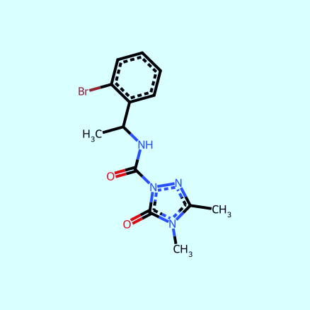 Cc1nn(C(=O)NC(C)c2ccccc2Br)c(=O)n1C